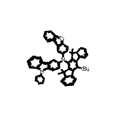 CC(C)(C)c1c2c(c(N(c3ccc4oc5ccccc5c4c3)c3ccc4c(c3)c3ccccc3n4-c3ccccc3)c3c1-c1ccccc1C3(C)C)C(C)(C)c1ccccc1-2